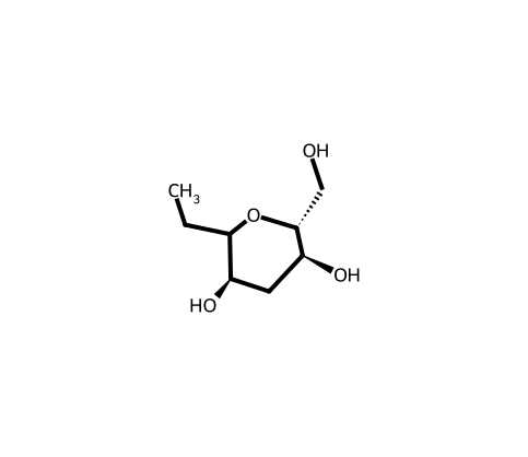 CCC1O[C@H](CO)[C@@H](O)C[C@H]1O